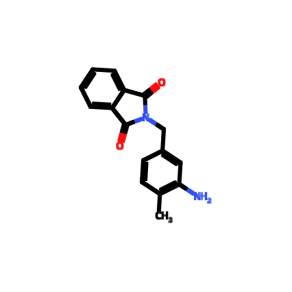 Cc1ccc(CN2C(=O)c3ccccc3C2=O)cc1N